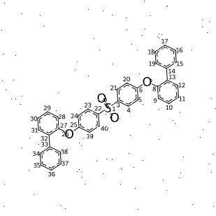 O=S(=O)(c1ccc(Oc2ccccc2-c2ccccc2)cc1)c1ccc(Oc2ccccc2-c2ccccc2)cc1